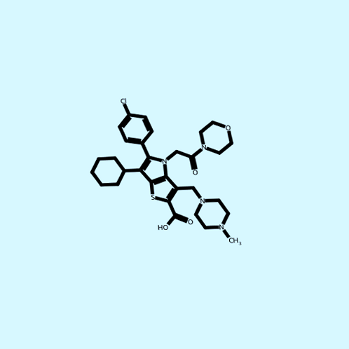 CN1CCN(Cc2c(C(=O)O)sc3c(C4CCCCC4)c(-c4ccc(Cl)cc4)n(CC(=O)N4CCOCC4)c23)CC1